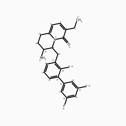 CCc1ccc2n(c1=O)C(Cc1cccc(-c3cc(F)cc(F)c3)c1F)C(N)CC2